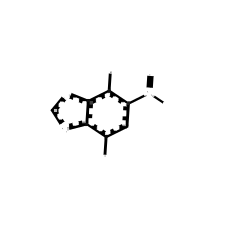 O=[N+]([O-])c1cc(Cl)c2ncsc2c1Cl